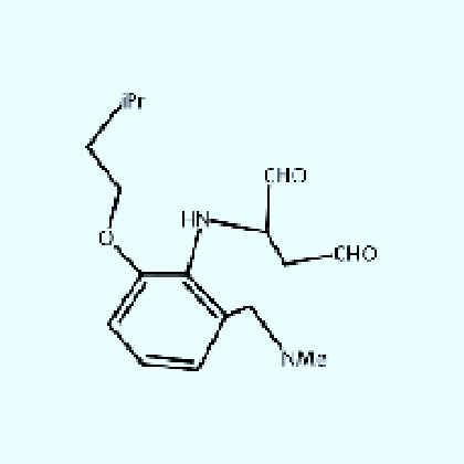 CNCc1cccc(OCCC(C)C)c1NC(C=O)CC=O